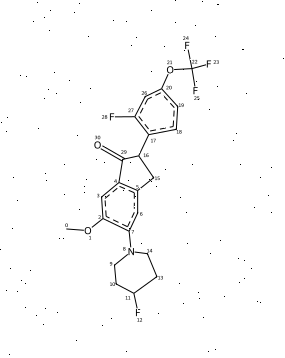 COc1cc2c(cc1N1CCC(F)CC1)CC(c1ccc(OC(F)(F)F)cc1F)C2=O